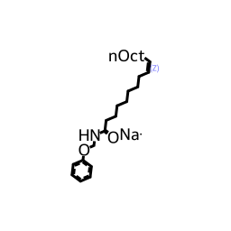 CCCCCCCC/C=C\CCCCCCCC(=O)NCOc1ccccc1.[Na]